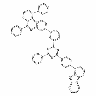 c1ccc(-c2nc(-c3ccc(-c4cccc5c4oc4ccccc45)cc3)nc(-c3cccc(-c4ccc5c(c4)nc(-c4ccccc4)c4cccc(-c6ccccc6)c45)c3)n2)cc1